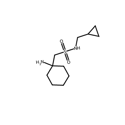 NC1(CS(=O)(=O)NCC2CC2)CCCCC1